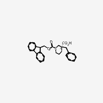 O=C(OCC1c2ccccc2-c2ccccc21)N1CCC[C@@](Cc2ccccc2)(C(=O)O)C1